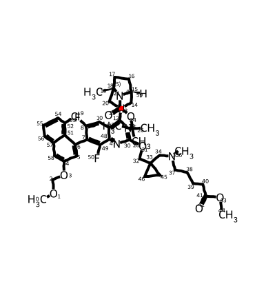 COCOc1cc(-c2c(F)cc3c(N4C[C@H]5CC[C@@](C)(C4)N5C(=O)OC(C)(C)C)nc(OCC4(CN(C)CCCCC(=O)OC)CC4)nc3c2F)c2c(Cl)cccc2c1